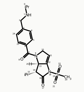 CC(C)NCc1ccc(C(=O)N2CC=C3[C@H]2[C@@H](C(C)C)C(=O)N3S(C)(=O)=O)cc1